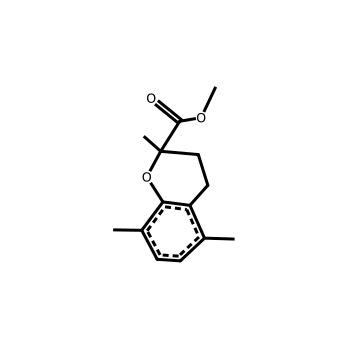 COC(=O)C1(C)CCc2c(C)ccc(C)c2O1